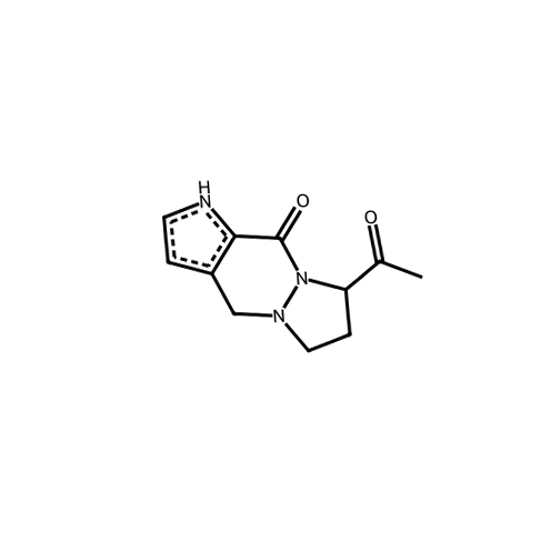 CC(=O)C1CCN2Cc3cc[nH]c3C(=O)N12